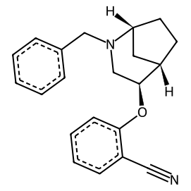 N#Cc1ccccc1O[C@H]1CN(Cc2ccccc2)[C@@H]2CC[C@H]1C2